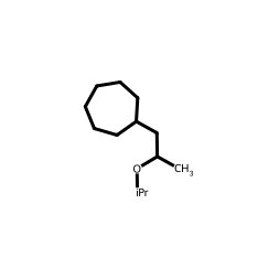 CC(C)OC(C)CC1CCCCCC1